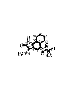 CCN(CC)S(=O)(=O)c1cc2c(c3c1CCCC3)NC(=O)C2=NO